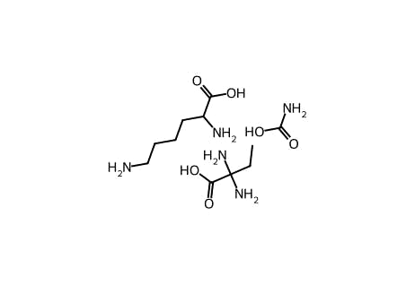 CCC(N)(N)C(=O)O.NC(=O)O.NCCCCC(N)C(=O)O